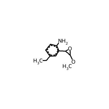 CCc1ccc(N)c(C2OC2OC)c1